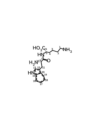 NCCCC[C@H](NC(=O)[C@@H](N)Cc1c[nH]c2ccccc12)C(=O)O